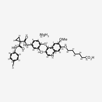 COc1cc2c(Oc3ccc(NC(=O)C4(C(=O)Nc5ccc(F)cc5)CC4)cc3Cl)ccnc2cc1OCCCCCC(=O)O.[MgH2]